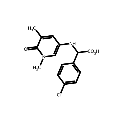 Cc1cc(NC(C(=O)O)c2ccc(Cl)cc2)cn(C)c1=O